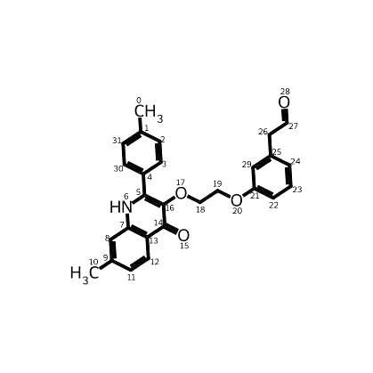 Cc1ccc(-c2[nH]c3cc(C)ccc3c(=O)c2OCCOc2cccc(CC=O)c2)cc1